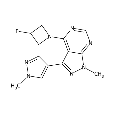 Cn1cc(-c2nn(C)c3ncnc(N4CC(F)C4)c23)cn1